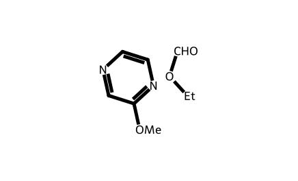 CCOC=O.COc1cnccn1